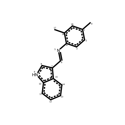 Cc1ccc(/N=C/c2c[nH]c3ccccc23)c(C)c1